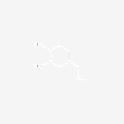 BC1=C(C)CCC(CC)C1